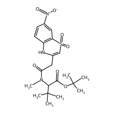 CN(C(=O)CC1=CS(=O)(=O)c2cc([N+](=O)[O-])ccc2N1)C(C(=O)OC(C)(C)C)C(C)(C)C